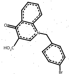 O=C(O)c1cn(Cc2ccc(Br)cc2)c2ccccc2c1=O